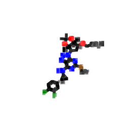 CCCSc1nc(NC2C[C@@H]2c2ccc(F)c(F)c2)c2nnn(C3C[C@H](OCC(=O)O)[C@H]4OC(C)(C)O[C@@H]34)c2n1